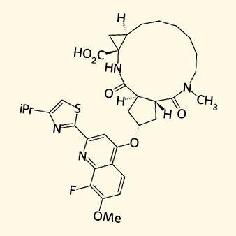 COc1ccc2c(O[C@@H]3C[C@H]4C(=O)N[C@]5(C(=O)O)C[C@H]5CCCCCCN(C)C(=O)[C@@H]4C3)cc(-c3nc(C(C)C)cs3)nc2c1F